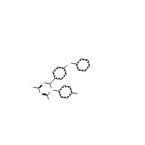 NC1=NC(c2ccc(Oc3ccccc3)cc2)N(c2ccc(Cl)cc2)C(N)=N1